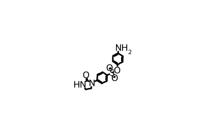 Nc1ccc(OS(=O)(=O)c2ccc(N3CCNC3=O)cc2)cc1